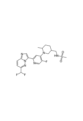 CC1CCC(CNS(C)(=O)=O)CN1c1cc(-c2cnc3ccc(C(F)F)nn23)ncc1F